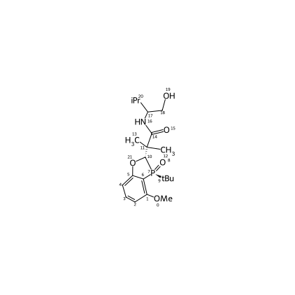 COc1cccc2c1[P@](=O)(C(C)(C)C)[C@@H](C(C)(C)C(=O)NC(CO)C(C)C)O2